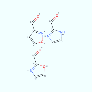 O=Cc1ccon1.O=Cc1ncc[nH]1.O=Cc1ncco1